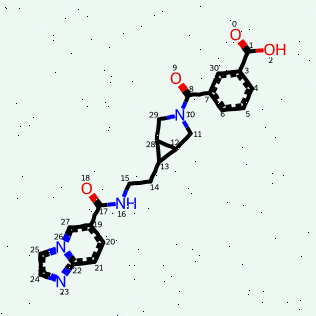 O=C(O)c1cccc(C(=O)N2CC3C(CCNC(=O)c4ccc5nccn5c4)C3C2)c1